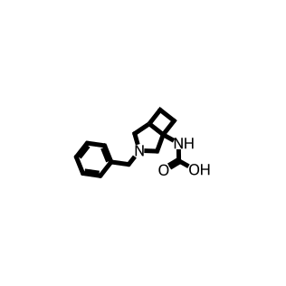 O=C(O)NC12CCC1CN(Cc1ccccc1)C2